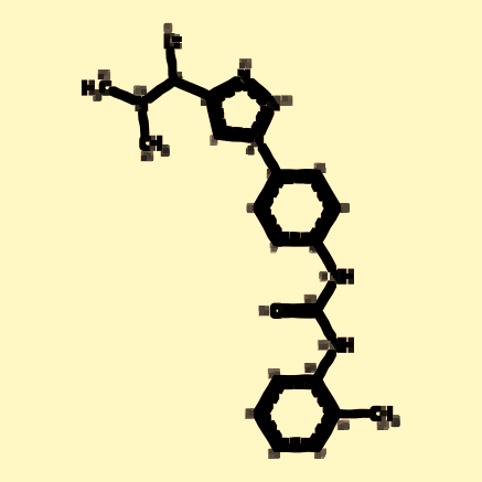 CCC(c1cn(-c2ccc(NC(=O)Nc3ccccc3C)cc2)nn1)N(C)C